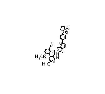 COc1ccc(C#N)cc1-c1cc(C)ncc1C(=O)Nc1nc2ccc(-c3ccc(N4CCCS4(=O)=O)cc3)nc2s1